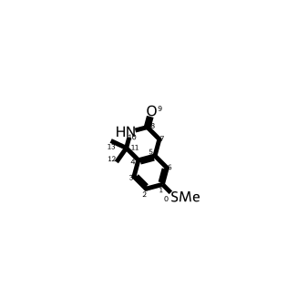 CSc1ccc2c(c1)CC(=O)NC2(C)C